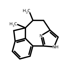 CC1Cc2c[nH]c(n2)-c2cccc3c2C1(C)C3